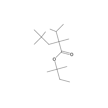 CCC(C)(C)OC(=O)C(C)(CC(C)(C)C)C(C)C